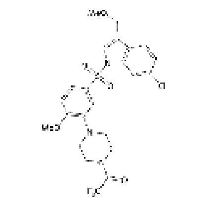 COCc1cn(S(=O)(=O)c2ccc(OC)c(N3CCN(C(=O)C(F)(F)F)CC3)c2)c2cc(Cl)ccc12